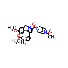 COc1cc2c(cc1OC(C)C)-c1c(-c3cccs3)cc(C(=O)N3CC4CC(CN(C(C)=O)C4)C3)n1CC2